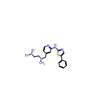 CCN(CC)CCN(C)Cc1ccnc(Nc2ncc(-c3ccccc3)s2)c1